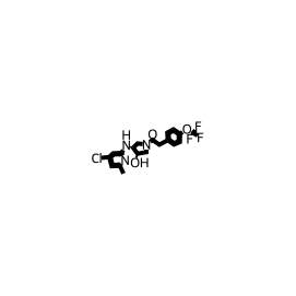 Cc1cc(Cl)cc(N[C@@H]2CN(C(=O)Cc3ccc(OC(F)(F)F)cc3)C[C@H]2O)n1